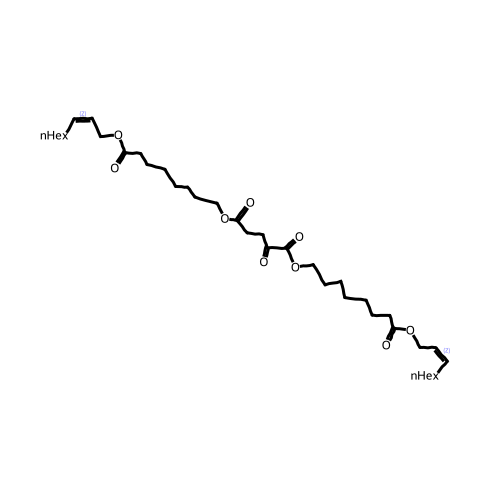 CCCCCC/C=C\COC(=O)CCCCCCCOC(=O)CCC(=O)C(=O)OCCCCCCCC(=O)OC/C=C\CCCCCC